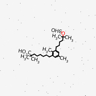 Cc1cc(CCCCCCC(C)(C)C(=O)O)c(C)c(CCCCC(C)(C)OC=O)c1